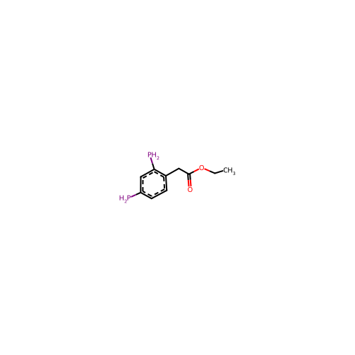 CCOC(=O)Cc1ccc(P)cc1P